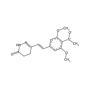 COc1cc(C=CC2=NNC(=O)CC2)cc(OC)c1[S+](C)[O-]